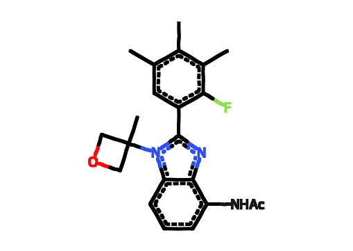 CC(=O)Nc1cccc2c1nc(-c1cc(C)c(C)c(C)c1F)n2C1(C)COC1